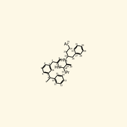 C=C(Cc1cccc(C(C)c2ccccc2)c1)NC(C(=C)NC(CCC(C)=O)Cc1ccccc1)C(C)C